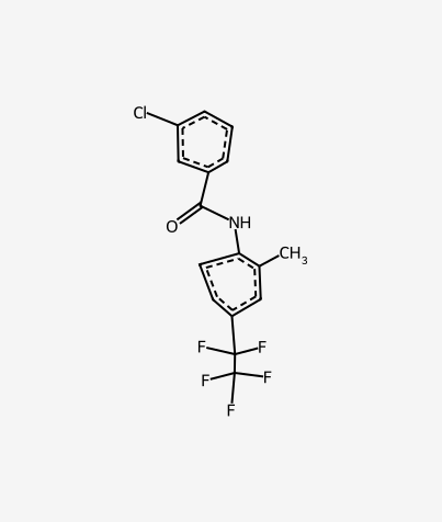 Cc1cc(C(F)(F)C(F)(F)F)ccc1NC(=O)c1cccc(Cl)c1